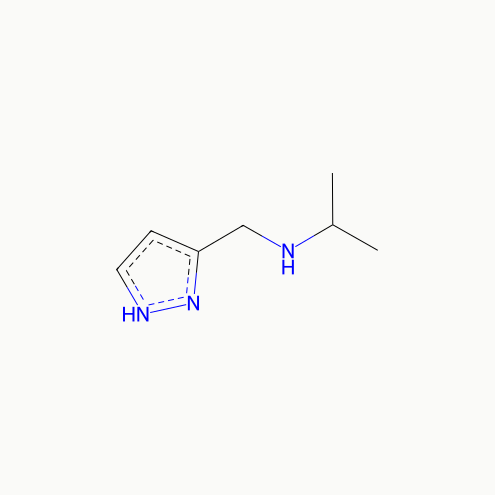 CC(C)NCc1cc[nH]n1